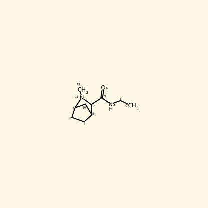 CCNC(=O)C1C2CCC(C2)N1C